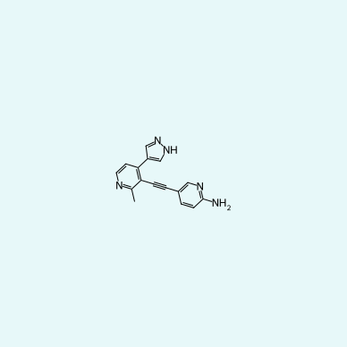 Cc1nccc(-c2cn[nH]c2)c1C#Cc1ccc(N)nc1